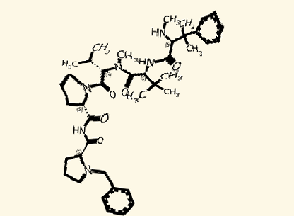 CN[C@H](C(=O)N[C@H](C(=O)N(C)[C@H](C(=O)N1CCC[C@H]1C(=O)NC(=O)[C@@H]1CCCN1Cc1ccccc1)C(C)C)C(C)(C)C)C(C)(C)c1ccccc1